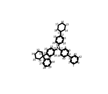 c1ccc(-c2ccc(N(c3ccc(C4CCCCC4)cc3)c3ccc(C4(c5ccccc5)CCCCC4)cc3)cc2)cc1